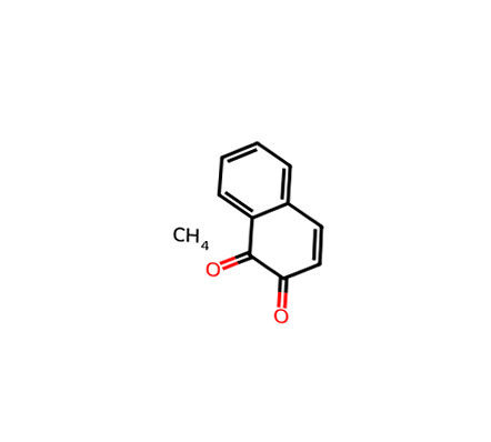 C.O=C1C=Cc2ccccc2C1=O